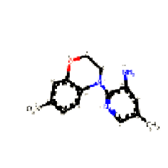 Cc1cnc(N2CCOc3cc([N+](=O)[O-])ccc32)c(N)c1